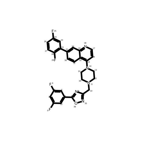 Fc1cc(F)cc(-c2nc(CN3CCN(c4ccnc5cc(-c6cc(F)ccc6F)ccc45)CC3)no2)c1